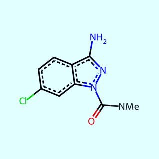 CNC(=O)n1nc(N)c2ccc(Cl)cc21